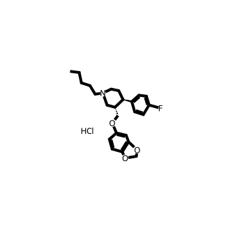 CCCCCN1CC[C@@H](c2ccc(F)cc2)[C@H](COc2ccc3c(c2)OCO3)C1.Cl